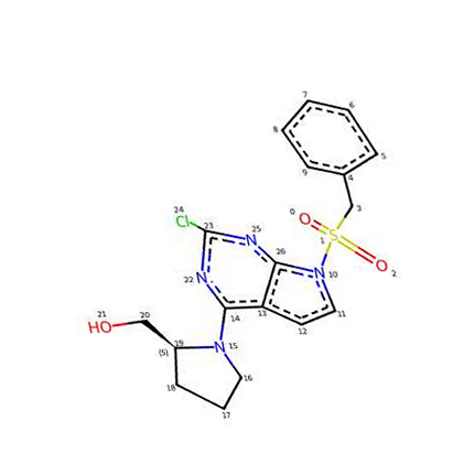 O=S(=O)(Cc1ccccc1)n1ccc2c(N3CCC[C@H]3CO)nc(Cl)nc21